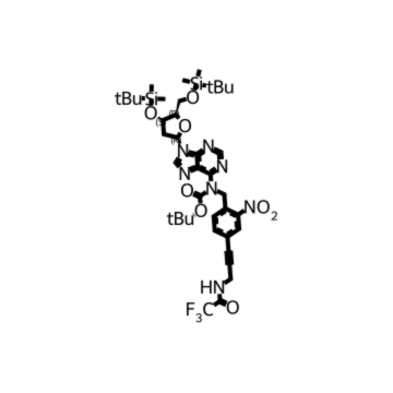 CC(C)(C)OC(=O)N(Cc1ccc(C#CCNC(=O)C(F)(F)F)cc1[N+](=O)[O-])c1ncnc2c1ncn2[C@H]1C[C@H](O[Si](C)(C)C(C)(C)C)[C@@H](CO[Si](C)(C)C(C)(C)C)O1